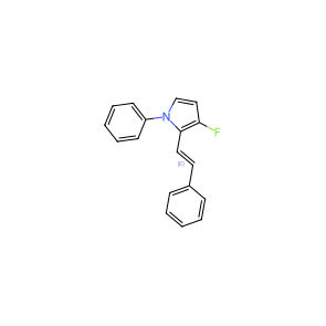 Fc1ccn(-c2ccccc2)c1/C=C/c1ccccc1